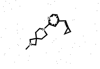 CN1CC2(CCN(c3cc(C=C4CC4)ccn3)CC2)C1